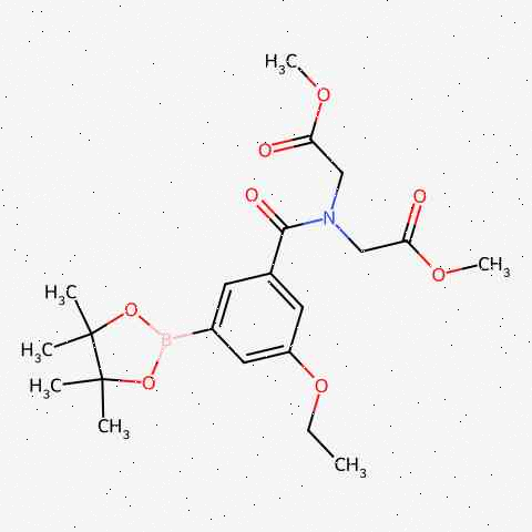 CCOc1cc(B2OC(C)(C)C(C)(C)O2)cc(C(=O)N(CC(=O)OC)CC(=O)OC)c1